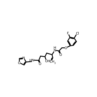 C=CC(CC(O)CC(=O)NCc1cocn1)NC(=O)COc1ccc(Cl)c(F)c1